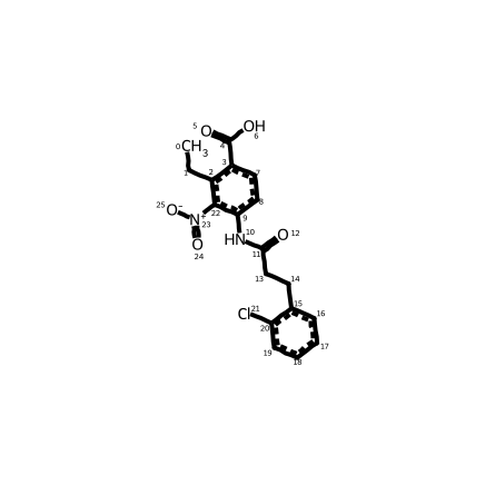 CCc1c(C(=O)O)ccc(NC(=O)CCc2ccccc2Cl)c1[N+](=O)[O-]